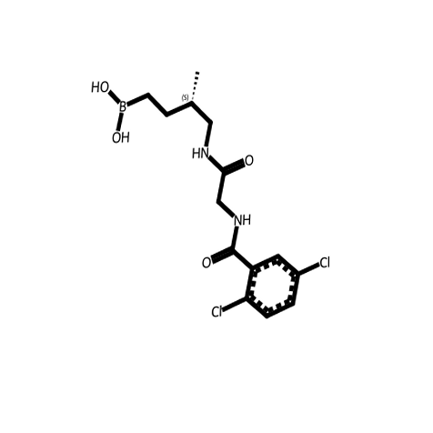 C[C@@H](CCB(O)O)CNC(=O)CNC(=O)c1cc(Cl)ccc1Cl